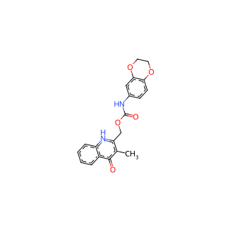 Cc1c(COC(=O)Nc2ccc3c(c2)OCCO3)[nH]c2ccccc2c1=O